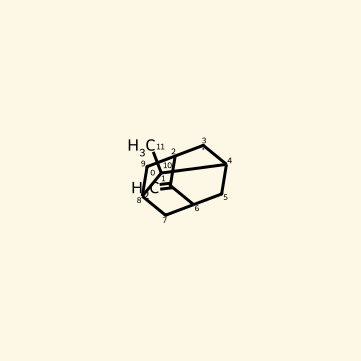 C=C1C2[CH]C3CC1CC(C2)C3C